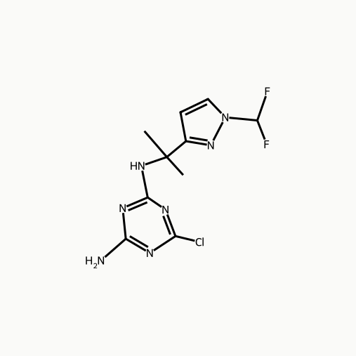 CC(C)(Nc1nc(N)nc(Cl)n1)c1ccn(C(F)F)n1